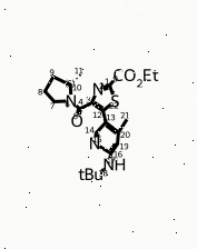 CCOC(=O)c1nc(C(=O)N2CCC[C@@H]2C)c(-c2cnc(NC(C)(C)C)cc2C)s1